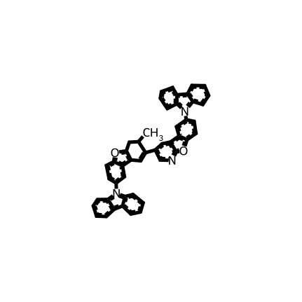 CC1Cc2oc3ccc(-n4c5ccccc5c5ccccc54)cc3c2C=C1c1cnc2oc3ccc(-n4c5ccccc5c5ccccc54)cc3c2c1